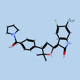 CC1(C)OC(=C2C(=O)Nc3cc(C(=O)O)c(F)cc32)C=C1c1ccc(C(=O)N2CCCC2)cc1